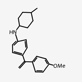 C=C(c1ccc(NC2CCC(C)CC2)cc1)c1ccc(OC)cc1